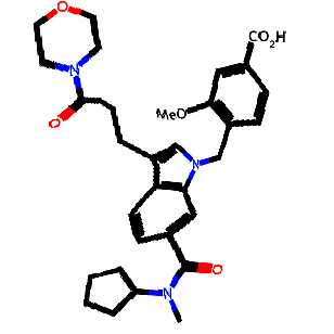 COc1cc(C(=O)O)ccc1Cn1cc(CCC(=O)N2CCOCC2)c2ccc(C(=O)N(C)C3CCCC3)cc21